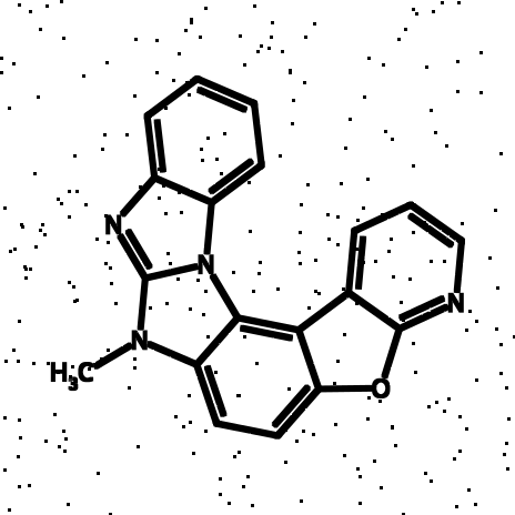 Cn1c2ccc3oc4ncccc4c3c2n2c3ccccc3nc12